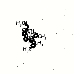 C/N=C/C=C\C=C(/C)c1cc(-c2cccc(-c3nc(-c4cc(C)ccc4C)nc(-c4cc(C)ccc4C)n3)c2)ccc1C